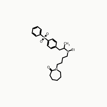 CCN(CCCCN1CCCCCC1=O)C(C)Cc1ccc(S(=O)(=O)c2ccccc2)cc1